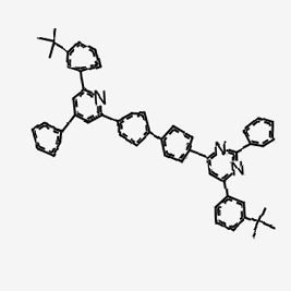 CC(C)(C)c1cccc(-c2cc(-c3ccccc3)cc(-c3ccc(-c4ccc(-c5cc(-c6cccc(C(C)(C)C)c6)nc(-c6ccccc6)n5)cc4)cc3)n2)c1